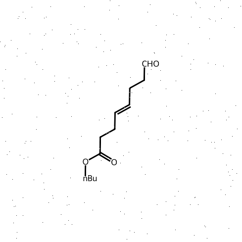 CCCCOC(=O)CC/C=C/CCC=O